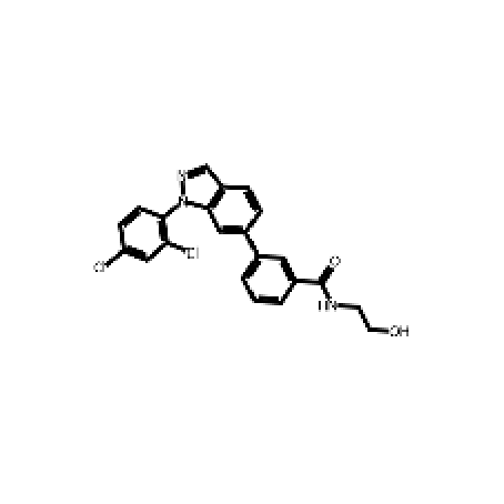 O=C(NCCO)c1cccc(-c2ccc3cnn(-c4ccc(Cl)cc4Cl)c3c2)c1